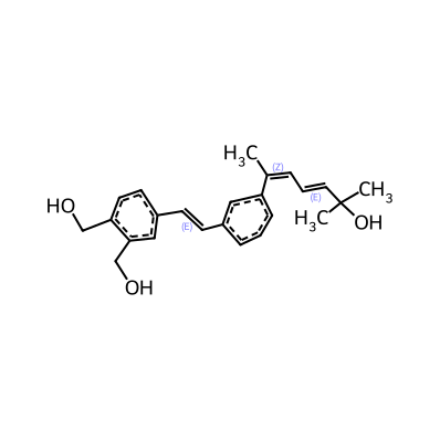 C/C(=C/C=C/C(C)(C)O)c1cccc(/C=C/c2ccc(CO)c(CO)c2)c1